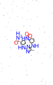 Cc1cnc(Nc2cccc(C(N)=O)c2)nc1Nc1ccc2oc(=O)[nH]c2c1